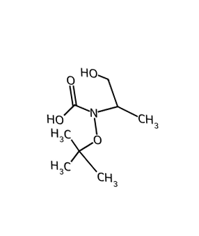 CC(CO)N(OC(C)(C)C)C(=O)O